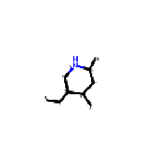 CCC1CNC(C)CC1C